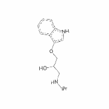 CC(C)NCC(O)COc1c[nH]c2ccccc12